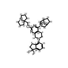 FC1(F)CCc2c(N3CCc4c(nc(OCC56CCCN5CCC6)nc4N4CC5CCC(C4)N5)C3)cccc21